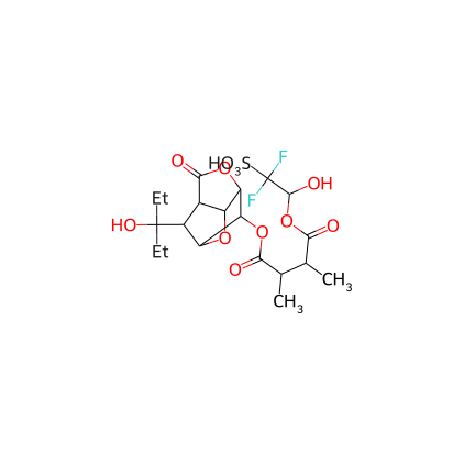 CCC(O)(CC)C1C2OC3C(OC(=O)C31)C2OC(=O)C(C)C(C)C(=O)OC(O)C(F)(F)S(=O)(=O)O